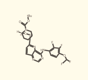 CC(C)(C)OC(=O)N1CC2CC[C@H]1CN2c1ccc2ncnc(Nc3ccc(OC(F)F)c(F)c3F)c2n1